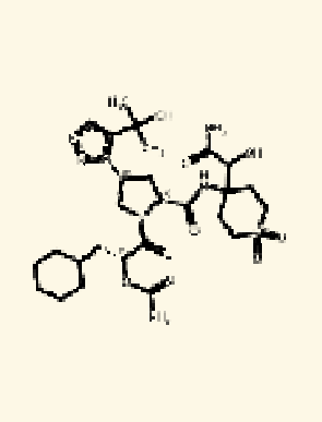 CC(C)(O)c1cnnn1[C@H]1C[C@@H](C(=O)NC2(C(O)C(N)=O)CCS(=O)(=O)CC2)N(C(=O)[C@@H](CC2CCCCC2)OC(N)=O)C1